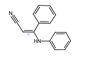 N#C/C=C(/Nc1ccccc1)c1ccccc1